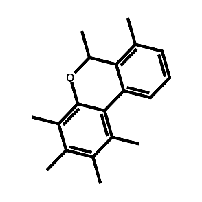 Cc1cccc2c1C(C)Oc1c(C)c(C)c(C)c(C)c1-2